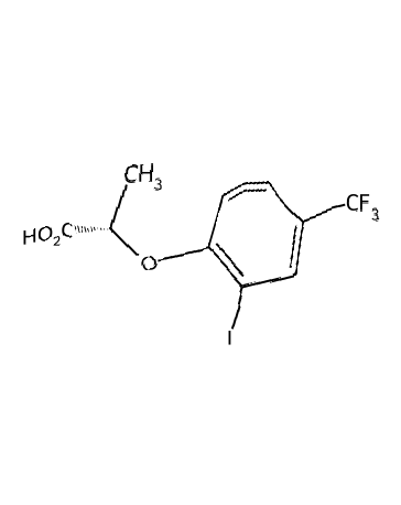 C[C@H](Oc1ccc(C(F)(F)F)cc1I)C(=O)O